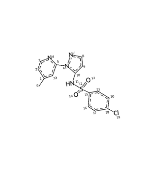 Cc1ccnc(-n2nccc2NS(=O)(=O)c2ccc(Cl)cc2)c1